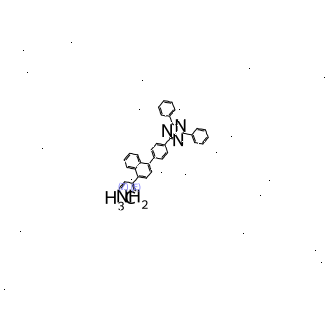 C/C=C(\C=C/N)c1ccc(-c2ccc(-c3nc(-c4ccccc4)nc(-c4ccccc4)n3)cc2)c2ccccc12